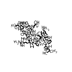 C#CC(C)CC(=O)N[C@@H](CS)C(=O)N1CCC[C@H]1C(=O)N[C@@H](CCCCN)C(=O)N[C@H](C(=O)N[C@@H](CS)C(=O)N1CCC[C@H]1C(=O)N[C@@H](CCCNC(=N)N)C(=O)N[C@@H](CCC(=O)O)C(=O)N[C@@H](CS)C(=O)N[C@@H](CCC(=O)O)C(=O)N[C@@H](CO)C(=O)N[C@@H](CC(N)=O)C(=O)N[C@@H](CS)C(=O)O)C(C)C